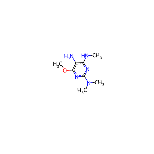 CNc1nc(N(C)C)nc(OC)c1N